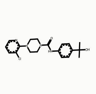 CC(C)(O)c1ccc(NC(=O)N2CCN(c3ncccc3Cl)CC2)cc1